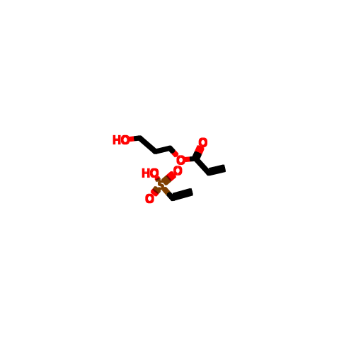 C=CC(=O)OCCCO.C=CS(=O)(=O)O